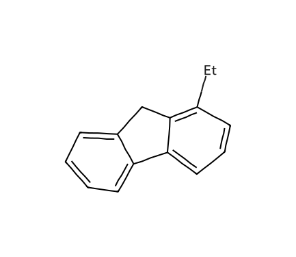 CCc1cccc2c1Cc1ccccc1-2